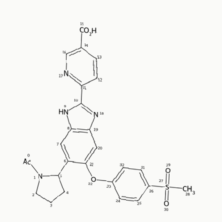 CC(=O)N1CCCC1c1cc2[nH]c(-c3ccc(C(=O)O)cn3)nc2cc1Oc1ccc(S(C)(=O)=O)cc1